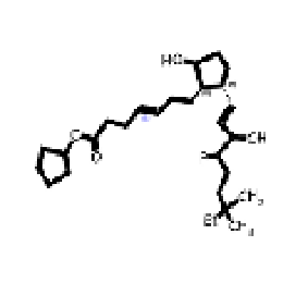 CCC(C)(C)CCC(F)C(O)C=C[C@H]1CCC(O)[C@@H]1CC/C=C/CCC(=O)OC1CCCC1